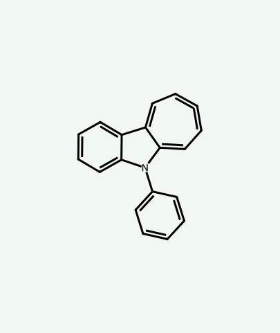 C1=CC=c2c(n(-c3ccccc3)c3ccccc23)=CC=1